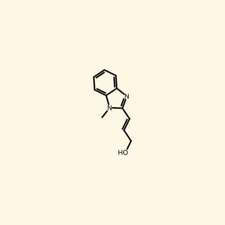 Cn1c(C=CCO)nc2ccccc21